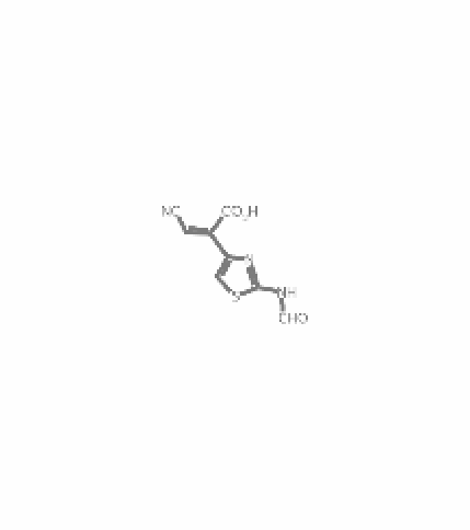 N#CC=C(C(=O)O)c1csc(NC=O)n1